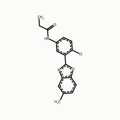 CCC(=O)Nc1ccc(Cl)c(-c2nc3cc(C)ccc3o2)c1